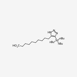 CCC[CH2][Sn]([CH2]CCC)([CH2]CCC)[c]1nn[nH]c1CCCCCCCCCC(=O)O